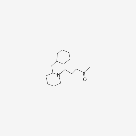 CC(=O)CCCN1CCCCC1CC1CCCCC1